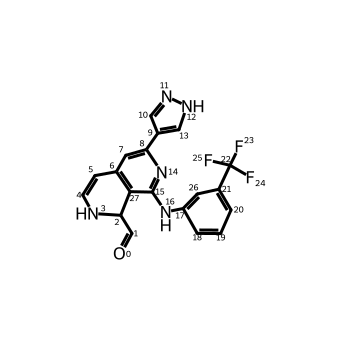 O=CC1NC=Cc2cc(-c3cn[nH]c3)nc(Nc3cccc(C(F)(F)F)c3)c21